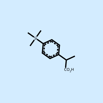 CC(C(=O)O)c1ccc([Si](C)(C)C)cc1